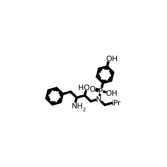 CC(C)CN(CC(O)C(N)Cc1ccccc1)P(=O)(O)c1ccc(O)cc1